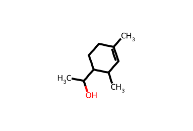 CC1=CC(C)C(C(C)O)CC1